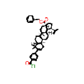 C=C(C)[C@@H]1CC[C@]2(C(=O)OCc3ccccc3)CC[C@]3(C)[C@H](CCC4[C@@]5(C)CC=C(c6ccc(C(=O)Cl)cc6)C(C)(C)[C@@H]5CC[C@]43C)[C@@H]12